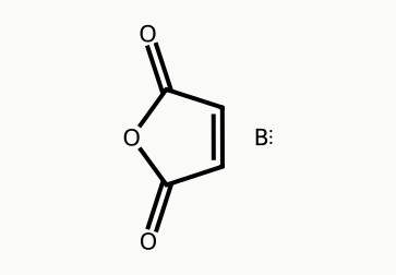 O=C1C=CC(=O)O1.[B]